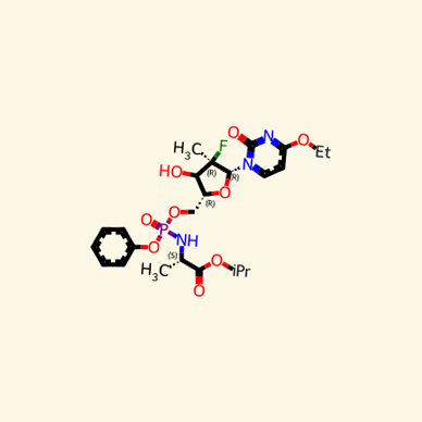 CCOc1ccn([C@@H]2O[C@H](COP(=O)(N[C@@H](C)C(=O)OC(C)C)Oc3ccccc3)C(O)[C@@]2(C)F)c(=O)n1